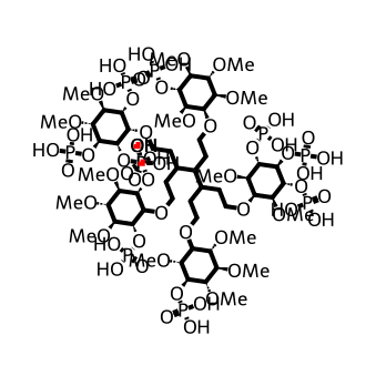 CO[C@@H]1[C@@H](OC)[C@@H](OCCC(C(CCOC2[C@@H](OC)[C@H](OP(=O)(O)O)[C@@H](OC)[C@H](OC)[C@H]2OC)CCO[C@H]2[C@@H](OC)[C@H](OP(=O)(O)O)[C@@H](OP(=O)(O)O)[C@H](OP(=O)(O)O)[C@H]2OC)C(CCOC2[C@@H](OP(=O)(O)O)[C@H](OC)[C@@H](OC)[C@H](OC)[C@H]2OP(=O)(O)O)CCO[C@H]2[C@@H](OP(=O)(O)O)[C@H](OC)[C@@H](OC)[C@H](OP(=O)(O)O)[C@H]2OP(=O)(O)O)[C@@H](OC)[C@H](OP(=O)(O)O)[C@H]1OC